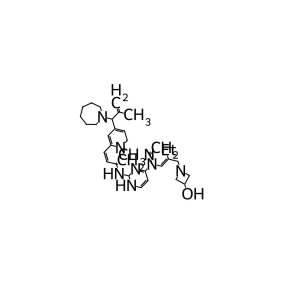 C=NN(/C=C(\CC)CN1CC(O)C1)C1=NC(NC(=C)/C=C\C2=CC(C(C(=C)C)N3CCCCCC3)=CCN2C)NC=C1